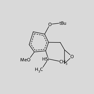 COc1ccc(OC(C)(C)C)c(CC2CO2)c1[SiH](C)C